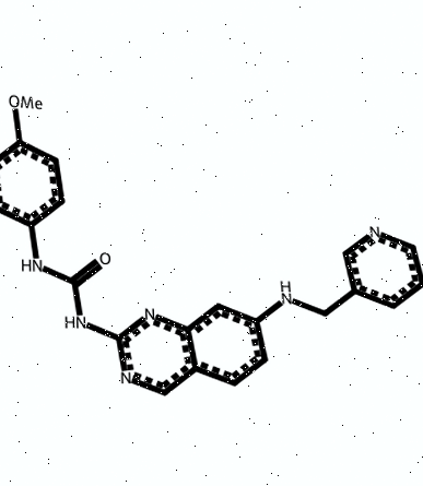 COc1ccc(NC(=O)Nc2ncc3ccc(NCc4cccnc4)cc3n2)cc1